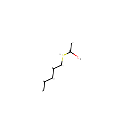 CCCCCSC(C)[O]